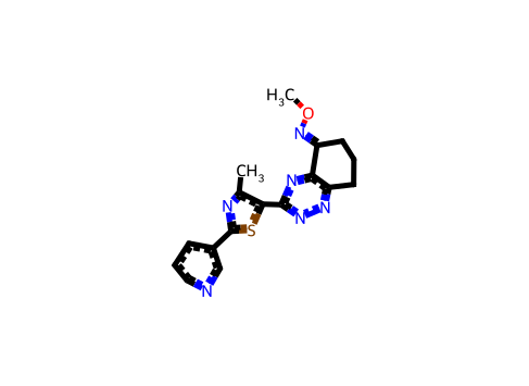 CO/N=C1\CCCc2nnc(-c3sc(-c4cccnc4)nc3C)nc21